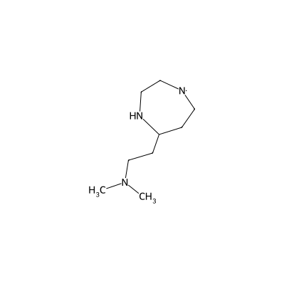 CN(C)CCC1CC[N]CCN1